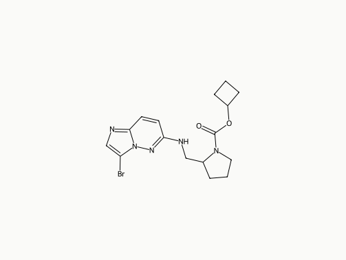 O=C(OC1CCC1)N1CCCC1CNc1ccc2ncc(Br)n2n1